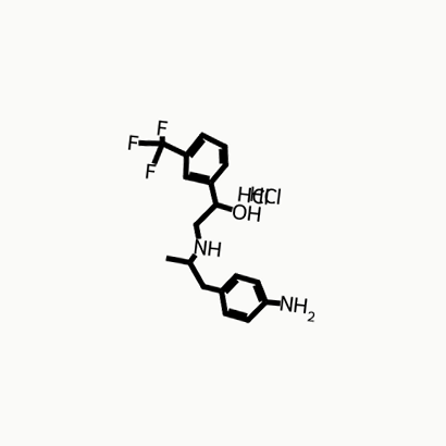 CC(Cc1ccc(N)cc1)NCC(O)c1cccc(C(F)(F)F)c1.Cl.Cl